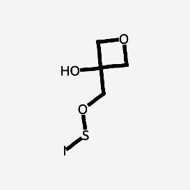 OC1(COSI)COC1